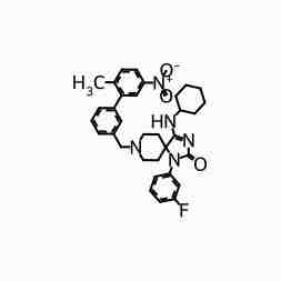 Cc1ccc([N+](=O)[O-])cc1-c1cccc(CN2CCC3(CC2)C(NC2CCCCC2)=NC(=O)N3c2cccc(F)c2)c1